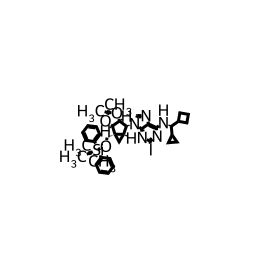 CC1(C)O[C@H]2[C@H](n3cnc4c(N[C@H](C5CCC5)C5CC5)nc(I)nc43)[C@H]3C[C@@]3(CO[Si](c3ccccc3)(c3ccccc3)C(C)(C)C)[C@H]2O1